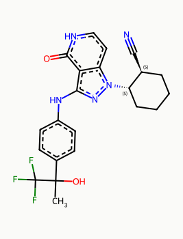 CC(O)(c1ccc(Nc2nn([C@H]3CCCC[C@@H]3C#N)c3cc[nH]c(=O)c23)cc1)C(F)(F)F